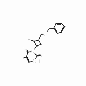 O=c1[nH]cc(F)c(=O)n1C1CC(COCc2ccccc2)C1F